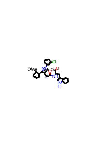 COC(=O)C(Cc1c[nH]c2ccccc12)NC(=O)/C=C\c1cn(-c2cccc(Cl)c2)nc1-c1ccccc1OC